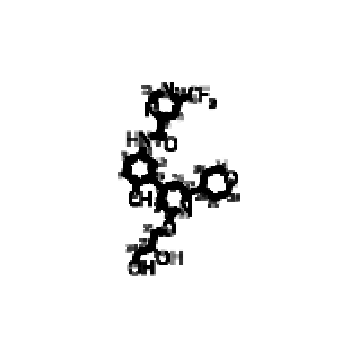 Cc1ccc(NC(=O)c2cc(C(F)(F)F)ncn2)cc1-c1cc(OC[C@H](O)CO)nc(C2CCOCC2)c1